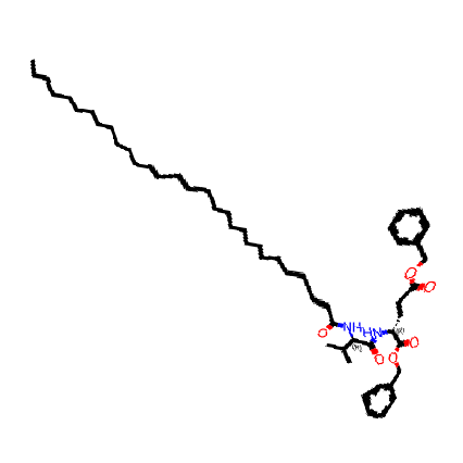 CCCCCCCCCCCCCCCCCCCCCCCCCCCCCC(=O)N[C@@H](C(=O)N[C@H](CCC(=O)OCc1ccccc1)C(=O)OCc1ccccc1)C(C)C